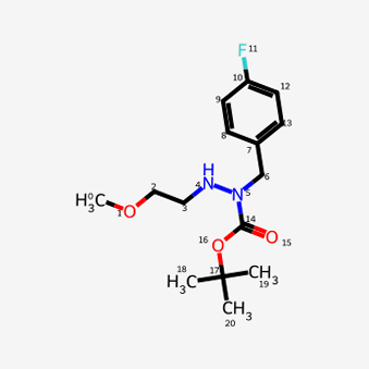 COCCNN(Cc1ccc(F)cc1)C(=O)OC(C)(C)C